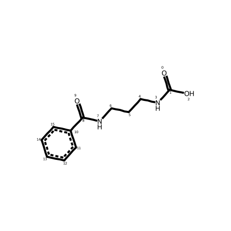 O=C(O)NCCCNC(=O)c1ccccc1